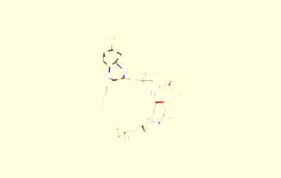 COc1ccc2nc3c(nc2c1)O[C@H]1CN(C(=O)[C@H](C(C)(C)C)NC(=O)O[C@@H]2CC2CCCCC3F)[C@H](C(=O)O)[C@@H]1C